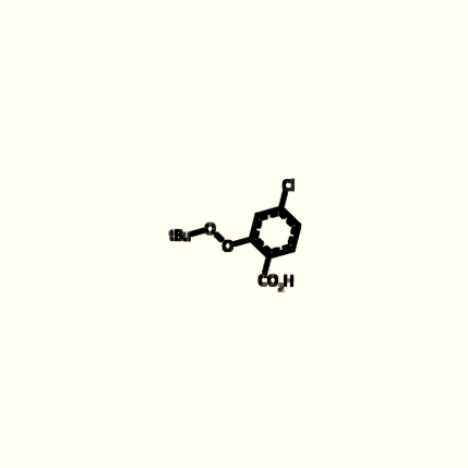 CC(C)(C)OOc1cc(Cl)ccc1C(=O)O